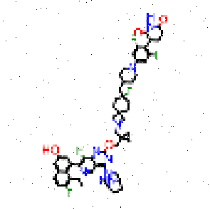 CCc1c(F)ccc2cc(O)cc(-c3ncc4c(N5CC6CCC(C5)N6)nc(OCC5(CN6CC7(CCC(F)(CC8CCN(c9cc(F)c(C%10CCC(=O)NC%10=O)c(F)c9)CC8)CC7)C6)CC5)nc4c3F)c12